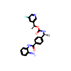 CC[C@H](NC(=O)O[C@@H](C)c1cncc(F)c1)c1ccc(C(=O)Nc2ccccc2N)cc1